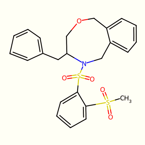 CS(=O)(=O)c1ccccc1S(=O)(=O)N1Cc2ccccc2COCC1Cc1ccccc1